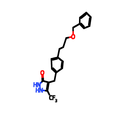 O=c1[nH][nH]c(C(F)(F)F)c1Cc1ccc(CCCOCc2ccccc2)cc1